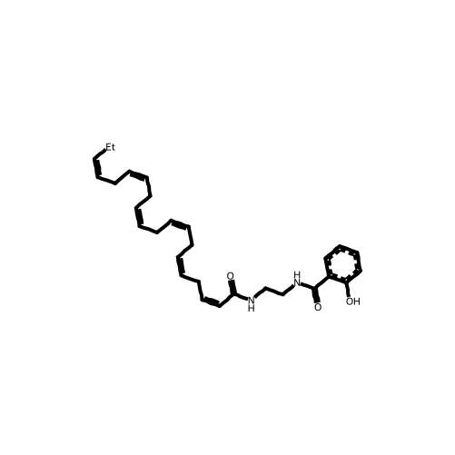 CC/C=C\C/C=C\C/C=C\C/C=C\C/C=C\C/C=C\C(=O)NCCNC(=O)c1ccccc1O